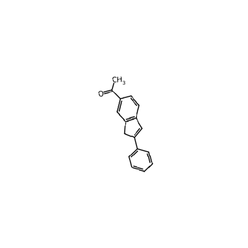 CC(=O)c1ccc2c(c1)CC(c1ccccc1)=C2